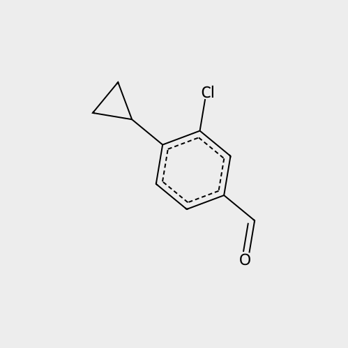 O=Cc1ccc(C2CC2)c(Cl)c1